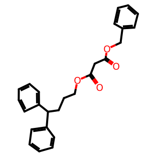 O=C(CC(=O)OCc1ccccc1)OCCCC(c1ccccc1)c1ccccc1